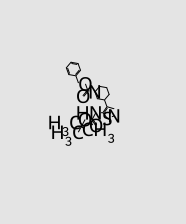 CC(C)(C)OC(=O)Nc1sncc1C1CCCN(C(=O)OCc2ccccc2)C1